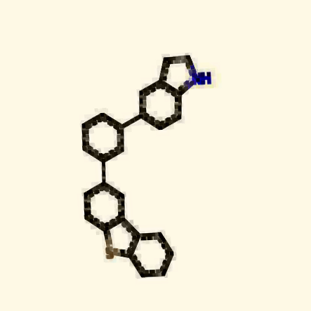 c1cc(-c2ccc3[nH]ccc3c2)cc(-c2ccc3sc4ccccc4c3c2)c1